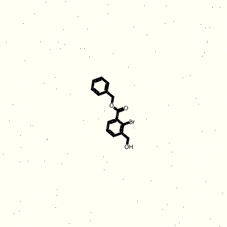 O=C(OCc1ccccc1)c1cccc(CO)c1Br